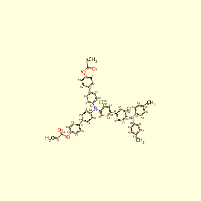 C=CC(=O)Oc1ccc(-c2ccc(N(c3ccc(-c4ccc(OC(=O)C=C)cc4)cc3)c3ccc(-c4ccc(N(c5ccc(C)cc5)c5ccc(C)cc5)c(Cl)c4)cc3Cl)cc2)cc1